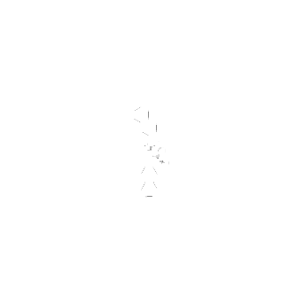 O=S(=O)(OS(=O)(=O)c1ccc2ccccc2c1)c1ccc2ccccc2c1